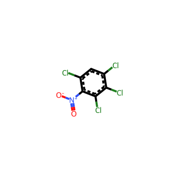 O=[N+]([O-])c1c(Cl)cc(Cl)c(Cl)c1Cl